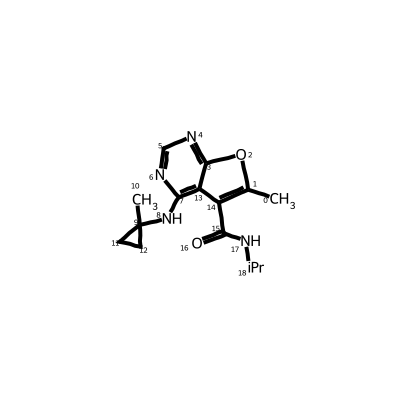 Cc1oc2ncnc(NC3(C)CC3)c2c1C(=O)NC(C)C